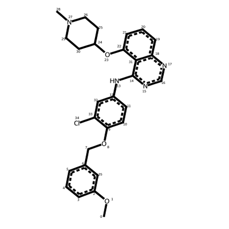 COc1cccc(COc2ccc(Nc3ncnc4cccc(OC5CCN(C)CC5)c34)cc2Cl)c1